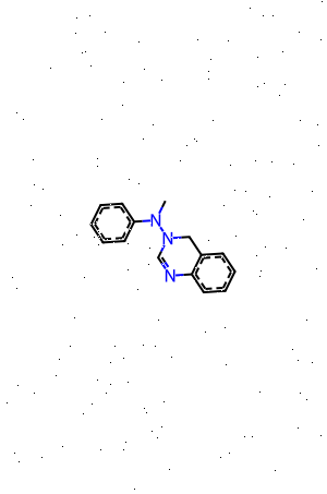 CN(c1ccccc1)N1C=Nc2ccccc2C1